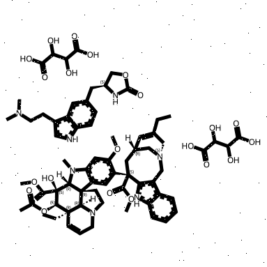 CCC1=C[C@@H]2C[N@](C1)Cc1c([nH]c3ccccc13)[C@@](C(=O)OC)(c1cc3c(cc1OC)N(C)[C@H]1[C@@](O)(C(=O)OC)[C@H](OC(C)=O)[C@]4(CC)C=CCN5CC[C@]31[C@@H]54)C2.CN(C)CCc1c[nH]c2ccc(C[C@H]3COC(=O)N3)cc12.O=C(O)C(O)C(O)C(=O)O.O=C(O)C(O)C(O)C(=O)O